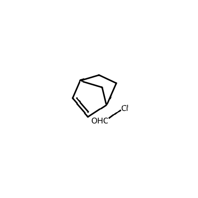 C1=CC2CCC1C2.O=CCl